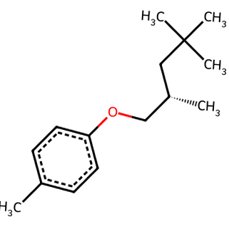 Cc1ccc(OC[C@@H](C)CC(C)(C)C)cc1